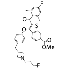 COC(=O)c1ccc2c(Oc3ccc(CC4CN(CCCF)C4)cc3)c(C(=O)c3c(C)cc(F)cc3C)sc2c1